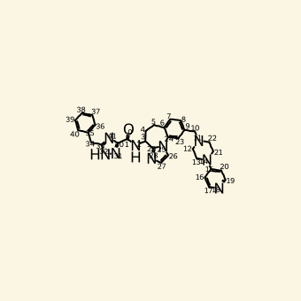 O=C(NC1CCc2ccc(CN3CCN(c4ccncc4)CC3)cc2-n2ccnc21)c1n[nH]c(Cc2ccccc2)n1